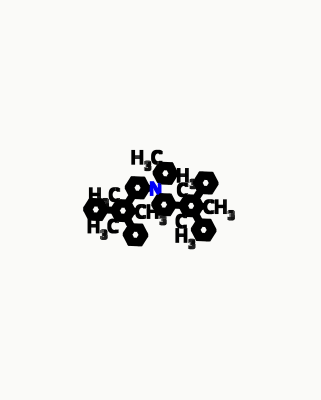 Cc1cccc(N(c2cccc(-c3c(C)c(-c4ccccc4)c(C)c(-c4ccccc4)c3C)c2)c2cccc(-c3c(C)c(-c4ccccc4)c(C)c(-c4ccccc4)c3C)c2)c1